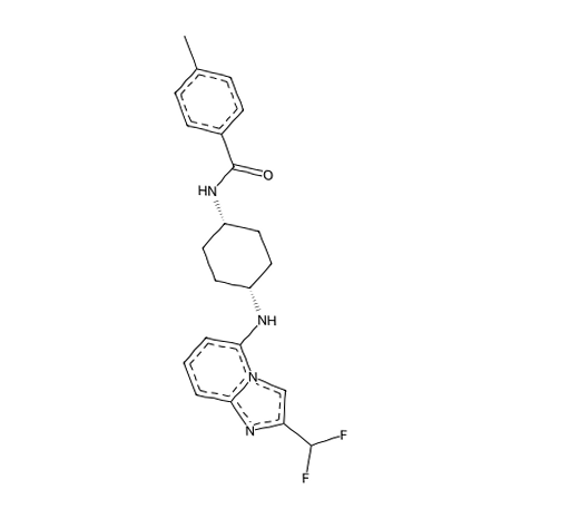 Cc1ccc(C(=O)N[C@H]2CC[C@@H](Nc3cccc4nc(C(F)F)cn34)CC2)cc1